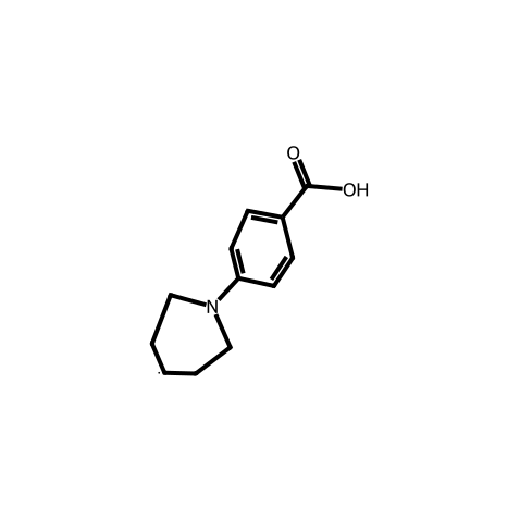 O=C(O)c1ccc(N2CC[CH]CC2)cc1